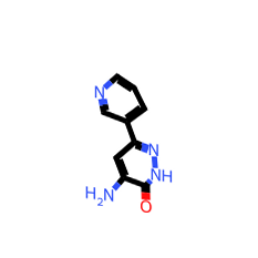 Nc1cc(-c2cccnc2)n[nH]c1=O